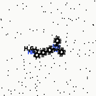 CC1C=Cc2c(cccc2-c2ccc(-c3ccc(-c4nc(-c5ccccc5)nc(-c5ccccc5)n4)cc3)cc2)N1